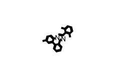 Cc1ccc2c(c1)c1ccccc1c1nc(-c3c(C)cccc3C)cn21